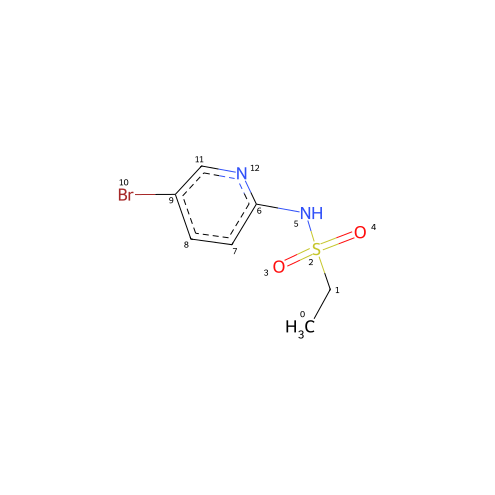 CCS(=O)(=O)Nc1ccc(Br)cn1